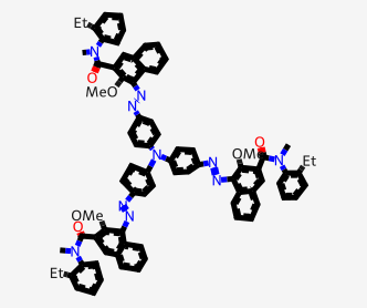 CCc1ccccc1N(C)C(=O)c1cc2ccccc2c(N=Nc2ccc(N(c3ccc(N=Nc4c(OC)c(C(=O)N(C)c5ccccc5CC)cc5ccccc45)cc3)c3ccc(N=Nc4c(OC)c(C(=O)N(C)c5ccccc5CC)cc5ccccc45)cc3)cc2)c1OC